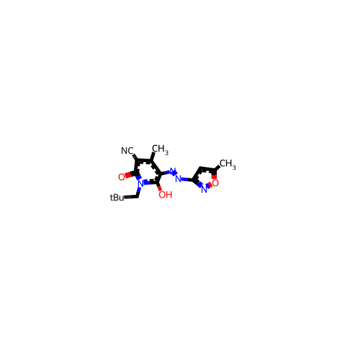 Cc1cc(N=Nc2c(C)c(C#N)c(=O)n(CC(C)(C)C)c2O)no1